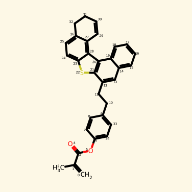 C=C(C)C(=O)Oc1ccc(CCc2cc3ccccc3c3c2sc2ccc4c(c23)C=CCC4)cc1